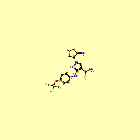 N=C1CSC[C@H]1n1cc(C(N)=O)c(Nc2ccc(SC(F)(F)F)cc2)n1